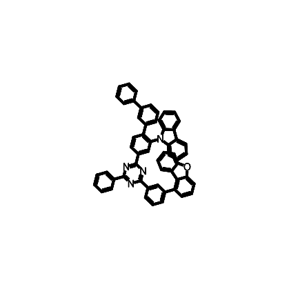 c1ccc(-c2cccc(-c3ccc(-c4nc(-c5ccccc5)nc(-c5cccc(-c6cccc7oc8ccccc8c67)c5)n4)cc3-n3c4ccccc4c4ccccc43)c2)cc1